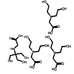 O=C(O)CN(CCO)CCO.O=C(O)CN(CCO)CCO.O=C(O)CN(CCO)CCO.O=C(O)CNC(CO)(CO)CO